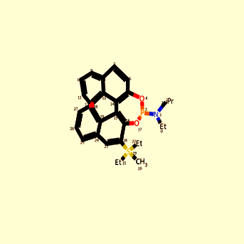 CCN(C(C)C)p1oc2ccc3ccccc3c2c2c(o1)c(S(C)(CC)CC)cc1ccccc12